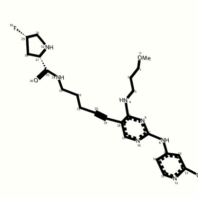 COCCCNc1nc(Nc2ccnc(OC)c2)ncc1C#CCCCNC(=O)[C@@H]1C[C@H](F)CN1